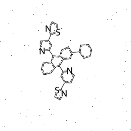 c1ccc(-c2ccc3c(-c4cc(-c5nccs5)ccn4)c4ccccc4c(-c4cc(-c5nccs5)ccn4)c3c2)cc1